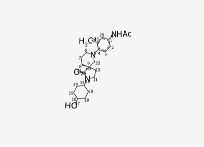 CC(=O)Nc1ccc(N2CCC[C@]3(CCN(C4CCC(O)CC4)C3=O)C2)c(C)c1